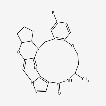 CC1CCOc2ccc(F)cc2CN2c3nc4c(cnn4cc3OC3CCCC32)C(=O)N1